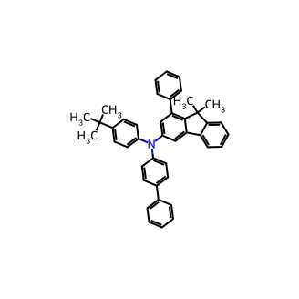 CC(C)(C)c1ccc(N(c2ccc(-c3ccccc3)cc2)c2cc(-c3ccccc3)c3c(c2)-c2ccccc2C3(C)C)cc1